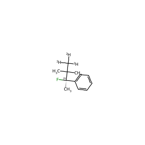 [2H]C([2H])([2H])C(C)(C)[C@](C)(F)c1ccccc1